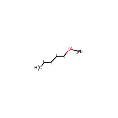 CCCCC[O][Pb]